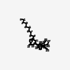 CCCCCCCCCCCCC(CC(C)=O)c1coc([Si](CC)(CC)CC)c1